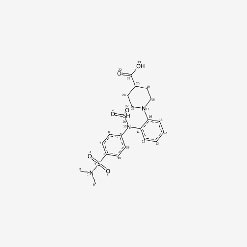 CN(C)S(=O)(=O)c1ccc(N(c2ccccc2N2CCC(C(=O)O)CC2)[SH](=O)=O)cc1